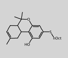 CCCCCCCCSc1cc(O)c2c(c1)OC(C)(C)C1CC=C(C)CC21